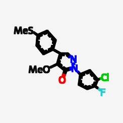 COc1c(-c2ccc(SC)cc2)cnn(-c2ccc(F)c(Cl)c2)c1=O